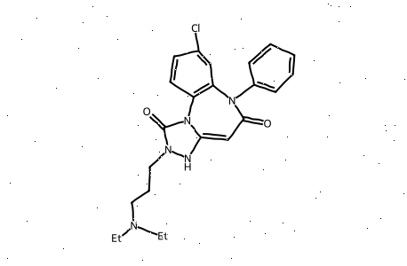 CCN(CC)CCCN1NC2=CC(=O)N(c3ccccc3)c3cc(Cl)ccc3N2C1=O